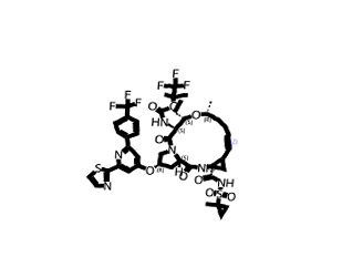 CC[C@@H]1O[C@H](C)CC/C=C\C2C[C@@]2(C(=O)NS(=O)(=O)C2(C)CC2)NC(=O)[C@@H]2C[C@@H](Oc3cc(-c4ccc(C(F)(F)F)cc4)nc(-c4nccs4)c3)CN2C(=O)[C@H]1NC(=O)OC(C)(C)C(F)(F)F